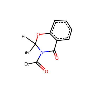 CCC(=O)N1C(=O)c2ccccc2OC1(CC)C(C)C